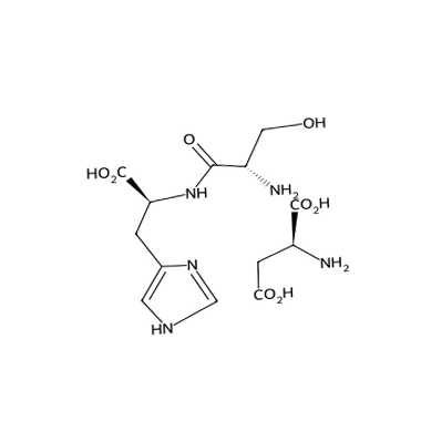 N[C@@H](CC(=O)O)C(=O)O.N[C@@H](CO)C(=O)N[C@@H](Cc1c[nH]cn1)C(=O)O